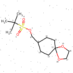 CC(C)(C)S(=O)(=O)OCC1CCC2(CC1)OCCO2